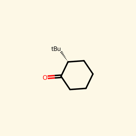 CC(C)(C)[C@@H]1CCCCC1=O